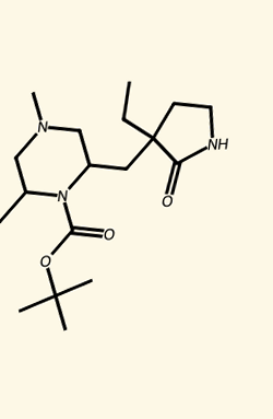 CCC1(CC2CN(C)CC(C)N2C(=O)OC(C)(C)C)CCNC1=O